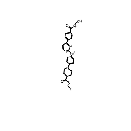 N#CCNC(=O)c1ccc(-c2ccnc(Nc3ccc(N4CCC(C(=O)SCF)CC4)cc3)n2)cc1